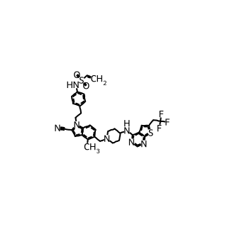 C=CS(=O)(=O)Nc1ccc(CCn2c(C#N)cc3c(C)c(CN4CCC(Nc5ncnc6sc(CC(F)(F)F)cc56)CC4)ccc32)cc1